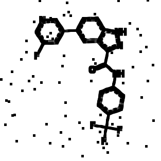 O=C(Nc1ccc(C(F)(F)F)cc1)c1n[nH]c2ccc(-c3cncc(F)c3)cc12